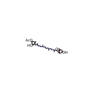 CC(=O)O[C@H]1CC(C)(C)C(=C/C(C)=C/C=C/C(C)=C/C=C/C=C(C)/C=C/C=C(\C)C(=O)C[C@@]23O[C@]2(C)C[C@@H](O)CC3(C)C)[C@](C)(O)C1